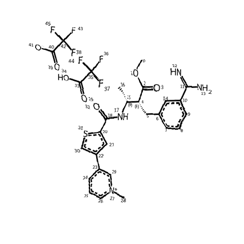 COC(=O)[C@H](Cc1cccc(C(=N)N)c1)[C@@H](C)NC(=O)c1cc(-c2ccc[n+](C)c2)cs1.O=C(O)C(F)(F)F.O=C([O-])C(F)(F)F